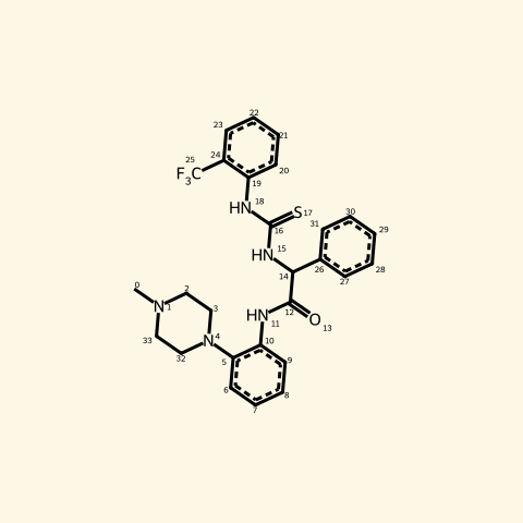 CN1CCN(c2ccccc2NC(=O)C(NC(=S)Nc2ccccc2C(F)(F)F)c2ccccc2)CC1